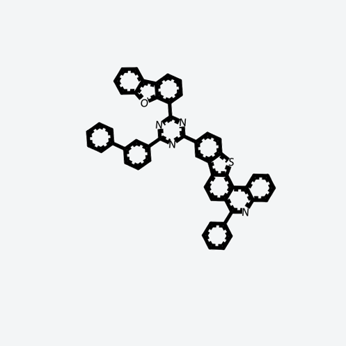 c1ccc(-c2cccc(-c3nc(-c4ccc5sc6c(ccc7c(-c8ccccc8)nc8ccccc8c76)c5c4)nc(-c4cccc5c4oc4ccccc45)n3)c2)cc1